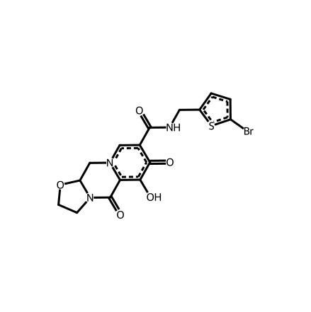 O=C(NCc1ccc(Br)s1)c1cn2c(c(O)c1=O)C(=O)N1CCOC1C2